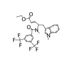 CCOC(=O)C=CC(Cc1cn(C)c2ccccc12)N(C)C(=O)c1cc(C(F)(F)F)cc(C(F)(F)F)c1